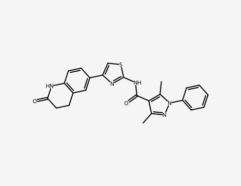 Cc1nn(-c2ccccc2)c(C)c1C(=O)Nc1nc(-c2ccc3c(c2)CCC(=O)N3)cs1